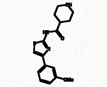 COc1cccc(-c2csc(NC(=O)C3CCNCC3)n2)c1